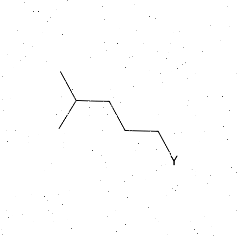 CC(C)CC[CH2][Y]